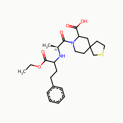 CCOC(=O)C(CCc1ccccc1)N[C@@H](C)C(=O)N1CCC2(CCSC2)CC1C(=O)O